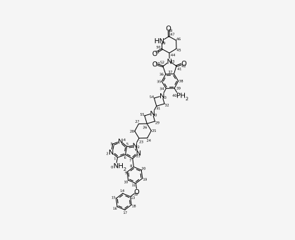 Nc1ncnc2c1c(-c1ccc(Oc3ccccc3)cc1)nn2C1CCC2(CC1)CN(C1CN(c3cc4c(cc3P)C(=O)N(C3CCC(=O)NC3=O)C4=O)C1)C2